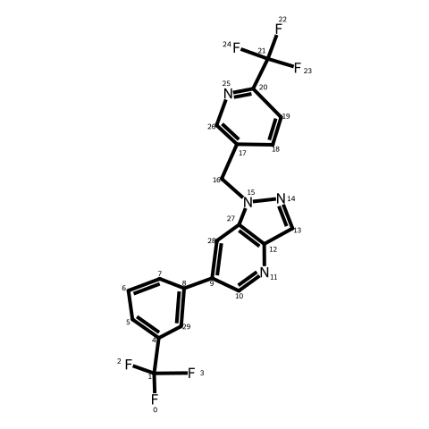 FC(F)(F)c1cccc(-c2cnc3cnn(Cc4ccc(C(F)(F)F)nc4)c3c2)c1